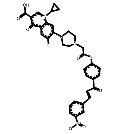 O=C(CN1CCN(c2cc3c(cc2F)c(=O)c(C(=O)O)cn3C2CC2)CC1)Nc1ccc(C(=O)/C=C/c2cccc([N+](=O)[O-])c2)cc1